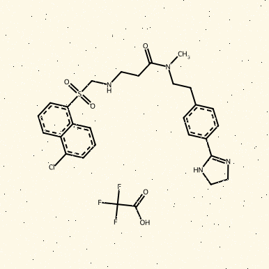 CN(CCc1ccc(C2=NCCN2)cc1)C(=O)CCNCS(=O)(=O)c1cccc2c(Cl)cccc12.O=C(O)C(F)(F)F